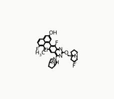 CCc1c(F)ccc2cc(O)cc(-c3c(Cl)cc4c(N5CC6CCC(C5)N6)nc(OC[C@@]56CCCN5C[C@H](F)C6)nc4c3F)c12